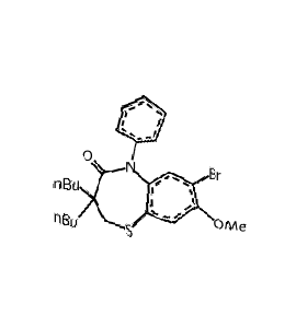 CCCCC1(CCCC)CSc2cc(OC)c(Br)cc2N(c2ccccc2)C1=O